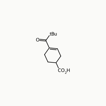 CC(C)(C)C(=O)C1=CCC(C(=O)O)CC1